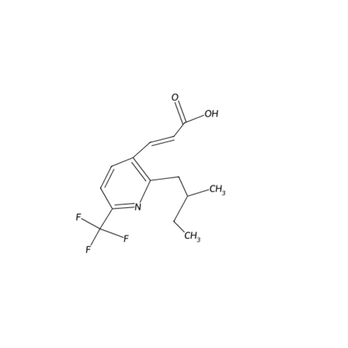 CCC(C)Cc1nc(C(F)(F)F)ccc1C=CC(=O)O